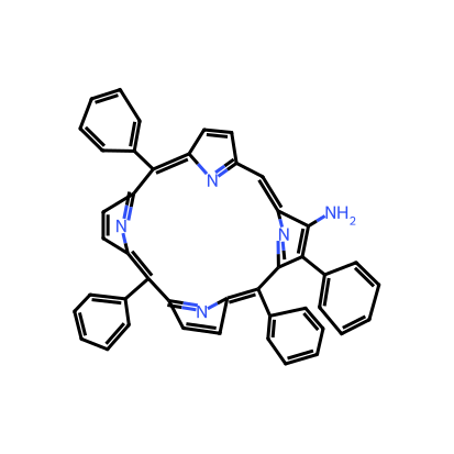 NC1=C(c2ccccc2)C2=NC1=CC1=NC(=C(c3ccccc3)C3=NC(=C(c4ccccc4)C4=NC(=C2c2ccccc2)C=C4)C=C3)C=C1